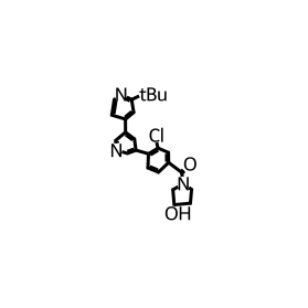 CC(C)(C)c1cc(-c2cncc(-c3ccc(C(=O)N4CCC(O)C4)cc3Cl)c2)ccn1